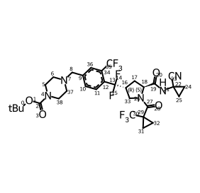 CC(C)(C)OC(=O)N1CCN(Cc2ccc(C(F)(F)[C@@H]3C[C@@H](C(=O)NC4(C#N)CC4)N(C(=O)C4(C(F)(F)F)CC4)C3)c(C(F)(F)F)c2)CC1